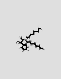 CCCCCCCC[S+](CCCCCCCC)C(C)C(=O)c1ccccc1